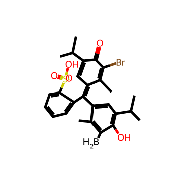 Bc1c(C)c(/C(=C2/C=C(C(C)C)C(=O)C(Br)=C2C)c2ccccc2S(=O)(=O)O)cc(C(C)C)c1O